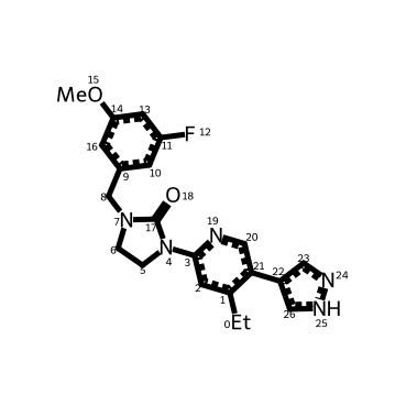 CCc1cc(N2CCN(Cc3cc(F)cc(OC)c3)C2=O)ncc1-c1cn[nH]c1